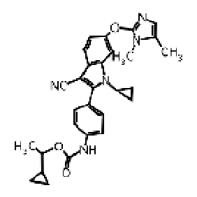 Cc1cnc(Oc2ccc3c(C#N)c(-c4ccc(NC(=O)OC(C)C5CC5)cc4)n(C4CC4)c3c2)n1C